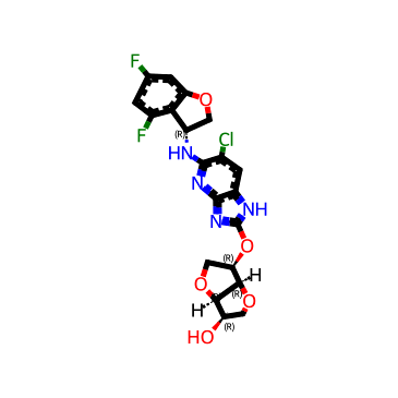 O[C@@H]1CO[C@H]2[C@@H]1OC[C@H]2Oc1nc2nc(N[C@H]3COc4cc(F)cc(F)c43)c(Cl)cc2[nH]1